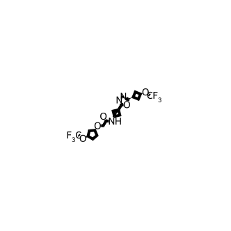 O=C(CO[C@H]1CC[C@@H](OC(F)(F)F)C1)NC12CC(c3nnc([C@H]4C[C@@H](OC(F)(F)F)C4)o3)(C1)C2